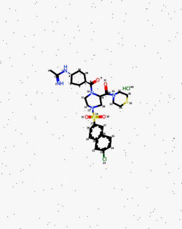 CC(=N)N[C@H]1CC[C@H](C(=O)N2CCN(S(=O)(=O)c3ccc4cc(Cl)ccc4c3)CC2C(=O)N2CCSCC2)CC1.Cl